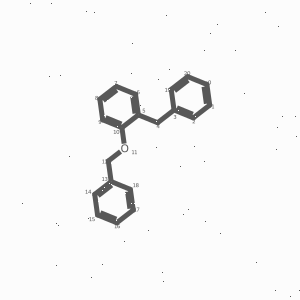 [c]1ccc(Cc2ccccc2OCc2ccccc2)cc1